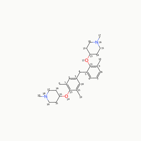 Cc1cc(Cc2cccc(C)c2OC2CCN(C)CC2)cc(C)c1OC1CCN(C)CC1